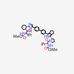 COC(=O)NC(C(=O)[C@H]1CCCC[C@H]1c1ncc(-c2ccc(-c3ccc(-c4[nH]c([C@@H]5CCCN5C(=O)[C@@H](NC(=O)OC)C(C)C)c5c4CCC5)cc3)cc2)[nH]1)C(C)C